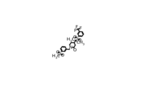 CC(C)(C1CCN(Cc2cccc(S(C)(=O)=O)c2)C(=O)C1)S(=O)(=O)c1cccc(C(F)(F)F)c1